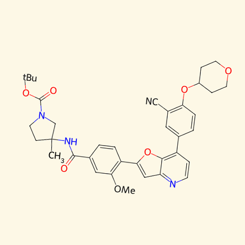 COc1cc(C(=O)NC2(C)CCN(C(=O)OC(C)(C)C)C2)ccc1-c1cc2nccc(-c3ccc(OC4CCOCC4)c(C#N)c3)c2o1